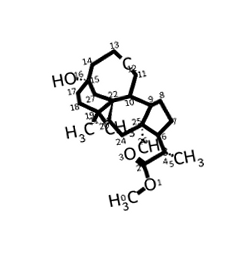 COC(=O)[C@@H](C)C1CCC2C3CCCC[C@]4(O)CCC(C)(C)[C@]3(CC[C@@]21C)C4